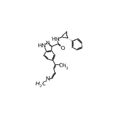 C=N/C=C\C=C(/C)c1ccc2[nH]nc(C(=O)NC3C[C@@H]3c3ccccc3)c2c1